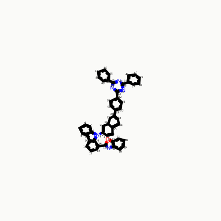 C1=CC(n2c3ccccc3c3cccc(-c4nc5ccccc5o4)c32)=CC2CC(c3ccc(-c4nc(-c5ccccc5)nc(-c5ccccc5)n4)cc3)=CC=C12